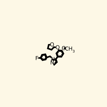 COc1ccc(-c2ccnn2Cc2ccc(F)cc2)cc1OC1CCCO1